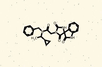 CC(C1CC1)N(Cc1ccccc1)C(=O)CN1C(=O)NC2(C(=O)Nc3ccccc32)C1=O